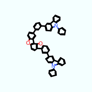 c1ccc(-n2c3ccccc3c3cc(-c4cccc(-c5ccc6oc7ccc8c9cc(-c%10ccc%11c(c%10)c%10ccccc%10n%11-c%10ccccc%10)ccc9oc8c7c6c5)c4)ccc32)cc1